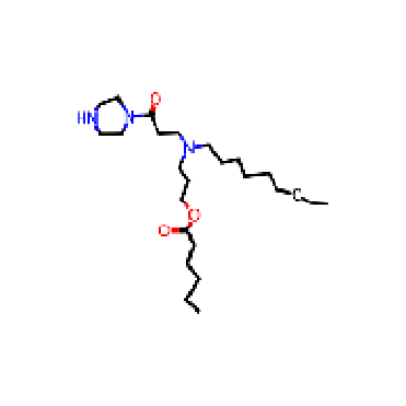 CCCCCCCCCN(CCCOC(=O)CCCCC)CCC(=O)N1CCNCC1